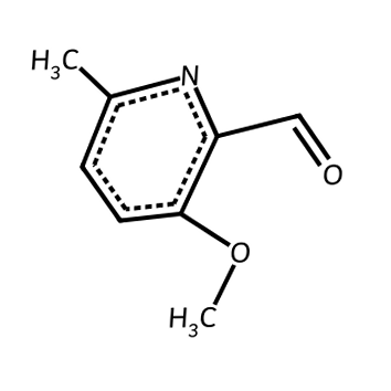 COc1ccc(C)nc1C=O